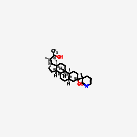 C[C@@H]([C@H]1CC[C@H]2[C@@H]3CC[C@@H]4C[C@@](O)(C5(C)C=NC=CC5)CC[C@]4(C)[C@H]3CC[C@]12C)[C@H](O)C(F)(F)F